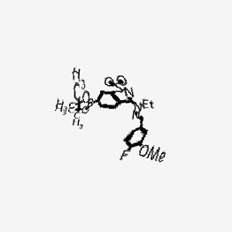 CCN(/N=C/c1ccc(F)c(OC)c1)C1=NS(=O)(=O)c2cc(B3OC(C)(C)C(C)(C)O3)ccc21